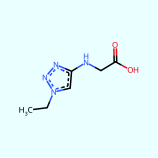 CCn1cc(NCC(=O)O)nn1